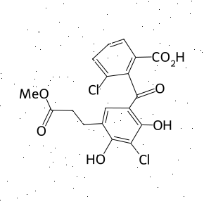 COC(=O)CCc1cc(C(=O)c2c(Cl)cccc2C(=O)O)c(O)c(Cl)c1O